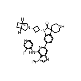 CC(C)n1cnc2cc(-c3ccc4c(c3)N([C@H]3C[C@@H](N5C[C@H]6CC[C@H]6C5)C3)C(=O)C43CCNCC3)nc(Nc3ccncc3F)c21